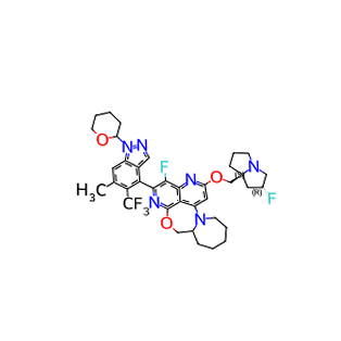 Cc1cc2c(cnn2C2CCCCO2)c(-c2nc3c4c(cc(OC[C@@]56CCCN5C[C@H](F)C6)nc4c2F)N2CCCCCC2CO3)c1C(F)(F)F